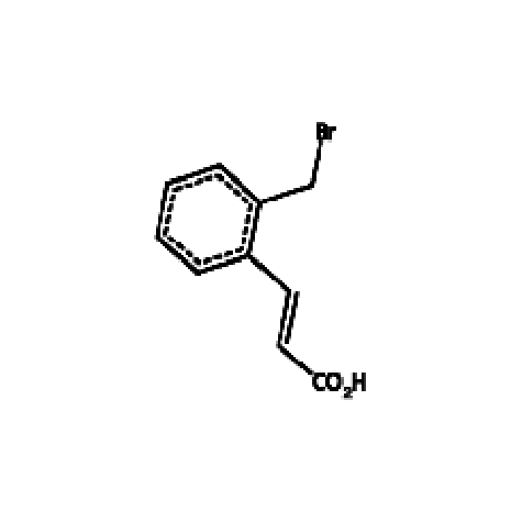 O=C(O)C=Cc1ccccc1CBr